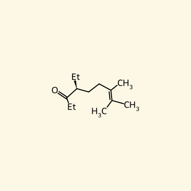 CCC(=O)[C@@H](CC)CCC(C)=C(C)C